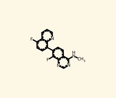 CNc1ncnc2c(F)c(-c3ccc(F)c4cccnc34)ccc12